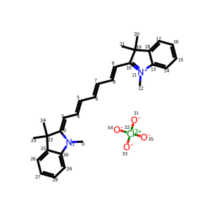 CN1\C(=C/C=C/C=C/C=C/C2=[N+](C)c3ccccc3C2(C)C)C(C)(C)c2ccccc21.[O-][Cl+3]([O-])([O-])[O-]